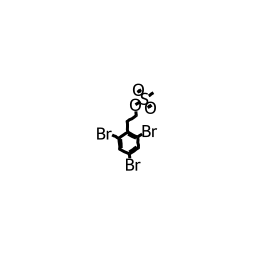 CS(=O)(=O)OCCc1c(Br)cc(Br)cc1Br